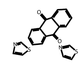 O=C1c2ccccc2C(=O)c2ccccc21.c1cscn1.c1cscn1